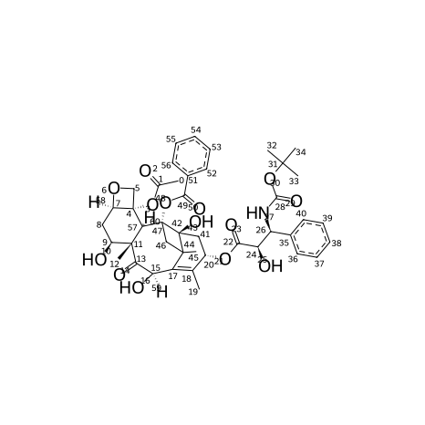 CC(=O)O[C@@]12CO[C@@H]1C[C@H](O)[C@@]1(C)C(=O)[C@H](O)C3=C(C)[C@@H](OC(=O)[C@H](O)[C@@H](NC(=O)OC(C)(C)C)c4ccccc4)C[C@]4(O)C3(C)C[C@@]4(OC(=O)c3ccccc3)[C@H]21